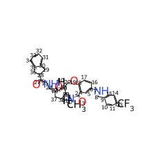 CN1C(=O)c2cc(NCc3ccc(C(F)(F)F)cc3)ccc2OC[C@@H]2O[C@H](CNC(=O)C3Cc4ccccc4C3)CC[C@@H]21